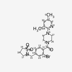 Cc1cnc(N2CCN(C(=O)c3ccc(CN4CCCS4(=O)=O)cc3Br)CC2)c(C)c1